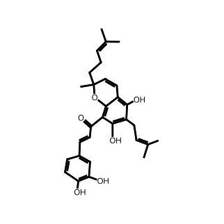 CC(C)=CCCC1(C)C=Cc2c(O)c(CC=C(C)C)c(O)c(C(=O)/C=C/c3ccc(O)c(O)c3)c2O1